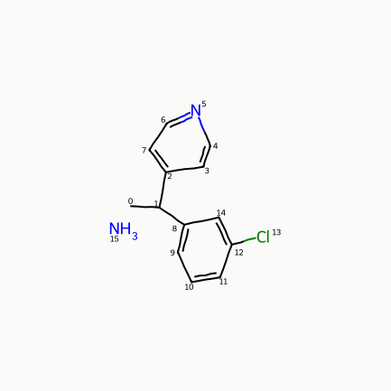 CC(c1ccncc1)c1cccc(Cl)c1.N